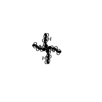 C=C(C)C(=O)OCCNC(=O)OCCOc1ccc(C(=C(c2ccc(OCCOC(=O)NCCOC(=O)C(=C)C)cc2)c2ccc(OCCOC(=O)NCCOC(=O)C(=C)C)cc2)c2ccc(OCCOC(=O)NCCOC(=O)C(=C)C)cc2)cc1